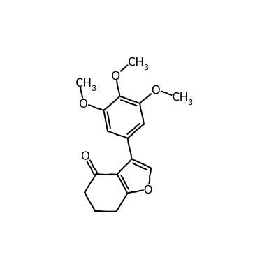 COc1cc(-c2coc3c2C(=O)CCC3)cc(OC)c1OC